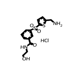 Cl.NCc1ccc(S(=O)(=O)c2cccc(C(=O)NCCO)c2)s1